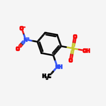 CNc1cc([N+](=O)[O-])ccc1S(=O)(=O)O